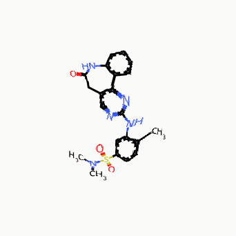 Cc1ccc(S(=O)(=O)N(C)C)cc1Nc1ncc2c(n1)-c1ccccc1NC(=O)C2